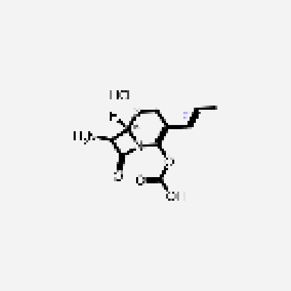 C/C=C/C1=C(OC(=O)O)N2C(=O)C(N)[C@@H]2SC1.Cl